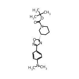 CN(C)c1ccc(-c2noc([C@H]3CCCN(C(=O)OC(C)(C)C)C3)n2)cc1